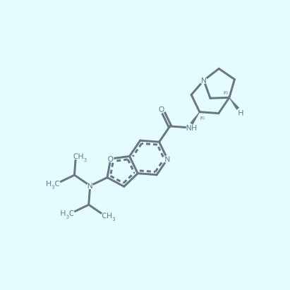 CC(C)N(c1cc2cnc(C(=O)N[C@@H]3C[C@H]4CCN(C4)C3)cc2o1)C(C)C